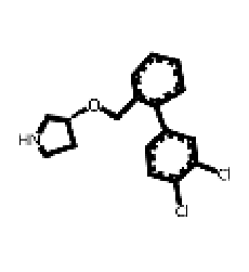 Clc1ccc(-c2ccccc2CO[C@H]2CCNC2)cc1Cl